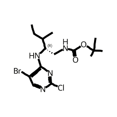 CCC(C)[C@H](CNC(=O)OC(C)(C)C)Nc1nc(Cl)ncc1Br